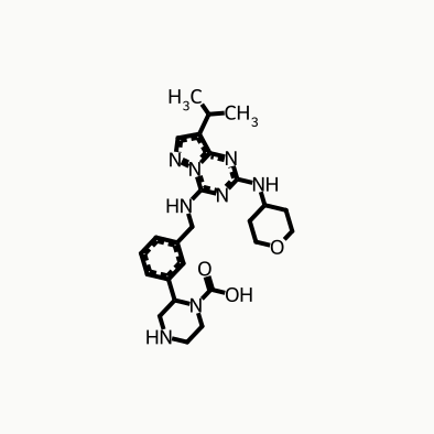 CC(C)c1cnn2c(NCc3cccc(C4CNCCN4C(=O)O)c3)nc(NC3CCOCC3)nc12